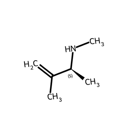 C=C(C)[C@H](C)NC